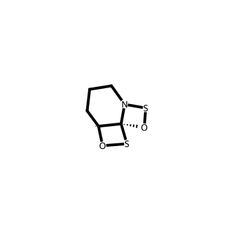 C1C[C]2OS[C@@]23OSN3C1